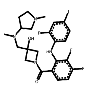 CN1CCC(N(C)CC2(O)CN(C(=O)c3ccc(F)c(F)c3Nc3ccc(I)cc3F)C2)C1